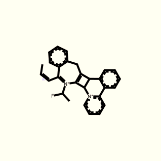 C/C=C\C1=[N+](C(C)F)C2=C(Cc3ccccc31)C1c3ccccc3-c3cccc[n+]3C21